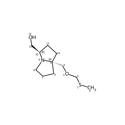 CSCOC[C@]12CCCN1[C@@H](CO)CC2